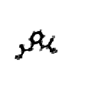 NC(=O)Oc1[c]cccc1OC(N)=O